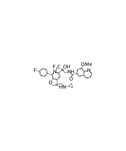 COc1cc(C(=O)NC[C@](O)(c2cc3c(c(-c4ccc(F)cc4)n2)OC[C@]3(C)CNC2CC2)C(F)(F)F)cc2cccnc12